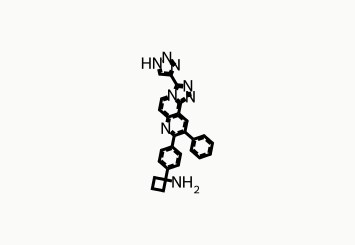 NC1(c2ccc(-c3nc4ccn5c(-c6c[nH]nn6)nnc5c4cc3-c3ccccc3)cc2)CCC1